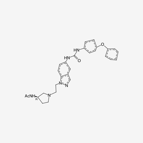 CC(=O)N[C@@H]1CCN(CCn2ncc3cc(NC(=O)Nc4ccc(Oc5ccccc5)cc4)ccc32)C1